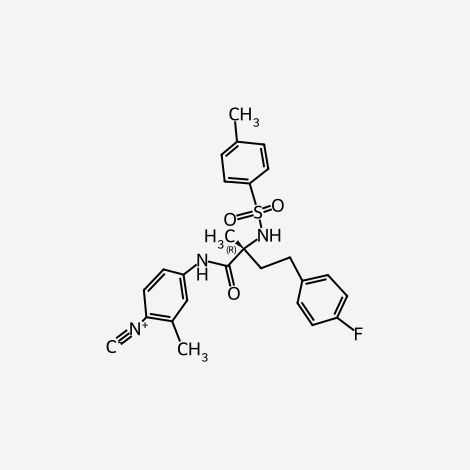 [C-]#[N+]c1ccc(NC(=O)[C@@](C)(CCc2ccc(F)cc2)NS(=O)(=O)c2ccc(C)cc2)cc1C